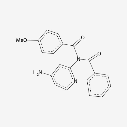 COc1ccc(C(=O)N(C(=O)c2ccccc2)c2cc(N)ccn2)cc1